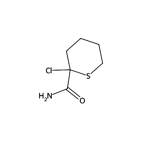 NC(=O)C1(Cl)CCCCS1